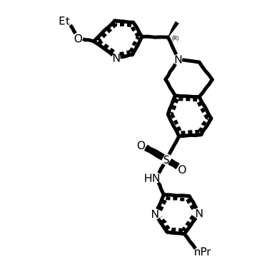 CCCc1cnc(NS(=O)(=O)c2ccc3c(c2)CN([C@H](C)c2ccc(OCC)nc2)CC3)cn1